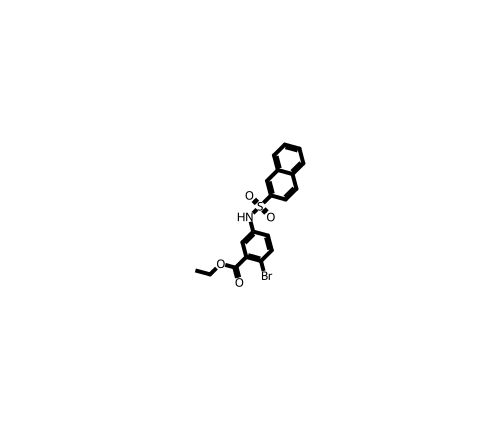 CCOC(=O)c1cc(NS(=O)(=O)c2ccc3ccccc3c2)ccc1Br